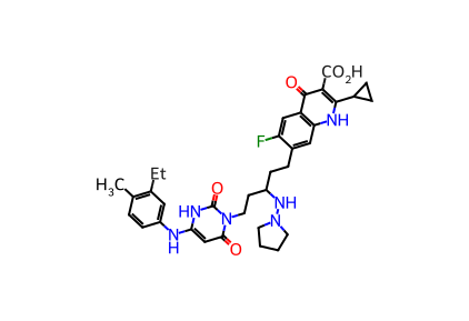 CCc1cc(Nc2cc(=O)n(CCC(CCc3cc4[nH]c(C5CC5)c(C(=O)O)c(=O)c4cc3F)NN3CCCC3)c(=O)[nH]2)ccc1C